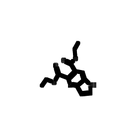 CCOC(=O)c1cc2[nH]ccc2nc1C(=O)OCC